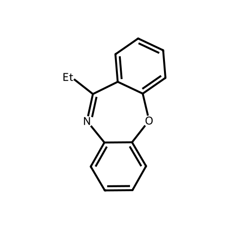 CCC1=Nc2ccccc2Oc2ccccc21